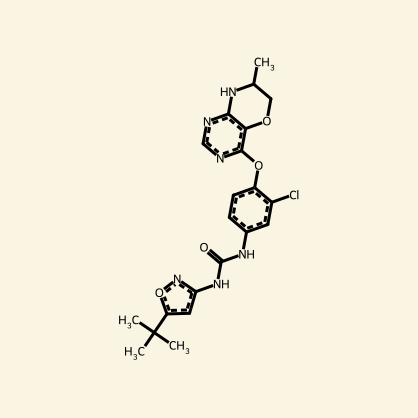 CC1COc2c(ncnc2Oc2ccc(NC(=O)Nc3cc(C(C)(C)C)on3)cc2Cl)N1